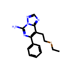 CCSCCc1c(-c2ccccc2)nc(N)n2ncnc12